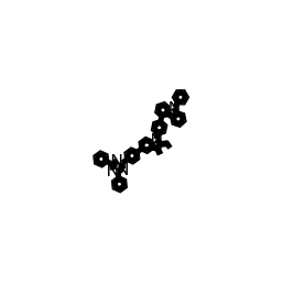 C=c1/c(=C\C)n(-c2ccc(-c3cccc4c3c3ccccc3n4-c3ccccc3)cc2)c2ccc(-c3ccc(-c4nc(-c5ccccc5)nc(-c5ccccc5)n4)cc3)cc12